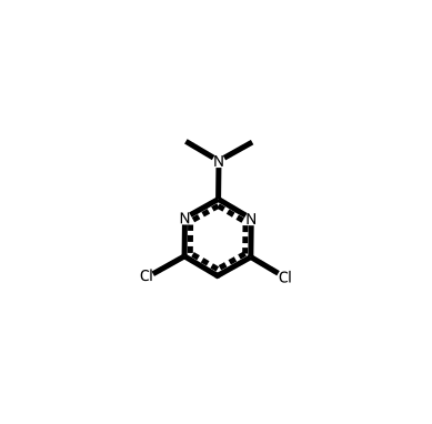 CN(C)c1nc(Cl)cc(Cl)n1